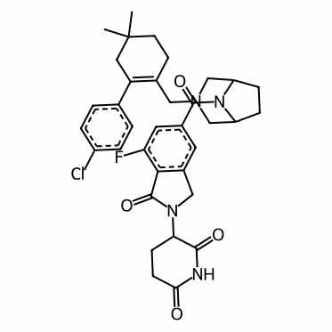 CC1(C)CCC(CN2CC3CCC(C2)N3C(=O)c2cc(F)c3c(c2)CN(C2CCC(=O)NC2=O)C3=O)=C(c2ccc(Cl)cc2)C1